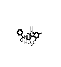 Cc1cc(C)c2c(C[C@H](NC(=O)c3ccccc3)C(=O)O)c(C)[nH]c2c1